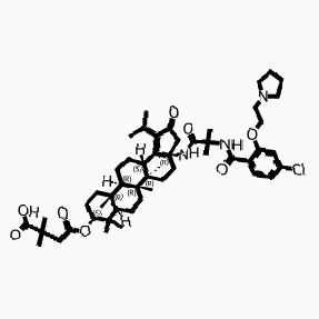 CC(C)C1=C2[C@H]3CC[C@@H]4[C@@]5(C)CC[C@H](OC(=O)CC(C)(C)C(=O)O)C(C)(C)[C@@H]5CC[C@@]4(C)[C@]3(C)CC[C@@]2(NC(=O)C(C)(C)NC(=O)c2ccc(Cl)cc2OCCN2CCCC2)CC1=O